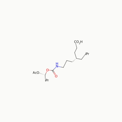 CC(=O)O[C@H](OC(=O)NCCC[C@H](CCC(=O)O)CC(C)C)C(C)C